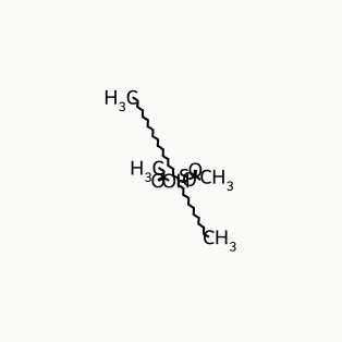 CCC(=O)O.CCCCCCCCCCCCCCCCCC(CCCCCCCCCCCC)SOC(=O)CC